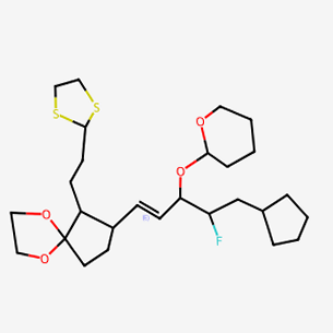 FC(CC1CCCC1)C(/C=C/C1CCC2(OCCO2)C1CCC1SCCS1)OC1CCCCO1